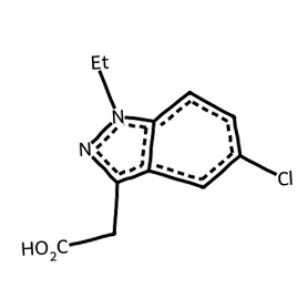 CCn1nc(CC(=O)O)c2cc(Cl)ccc21